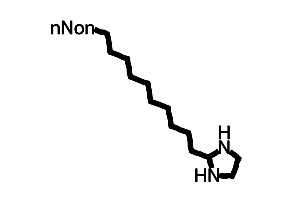 CCCCCCCCCCCCCCCCCCCC1NCCN1